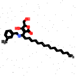 CCCCCCCCCCCCCCCC(=NCc1cccc(C)c1)C1=C(O)C(CO)OC1=O